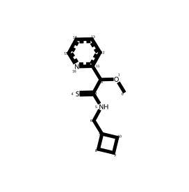 COC(C(=S)NCC1CCC1)c1ccccn1